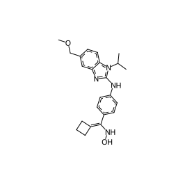 COCc1ccc2c(c1)nc(Nc1ccc(C(NO)=C3CCC3)cc1)n2C(C)C